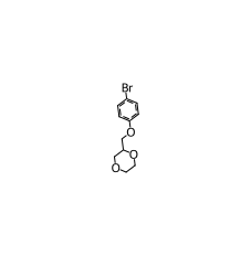 Brc1ccc(OCC2COCCO2)cc1